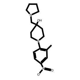 Cc1cc([N+](=O)[O-])ccc1N1CCC(O)(CN2CCCC2)CC1